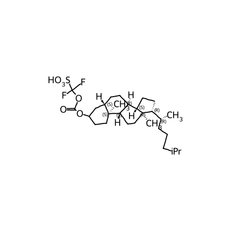 CC(C)CCC[C@@H](C)[C@H]1CC[C@H]2[C@@H]3CC[C@H]4CC(OC(=O)OC(F)(F)S(=O)(=O)O)CC[C@]4(C)[C@H]3CC[C@]12C